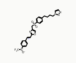 O=S(=O)(Cc1coc(/C=C/c2ccc([S+]([O-])C(F)(F)F)cc2)n1)c1ccc(CCCCn2ccnn2)cc1